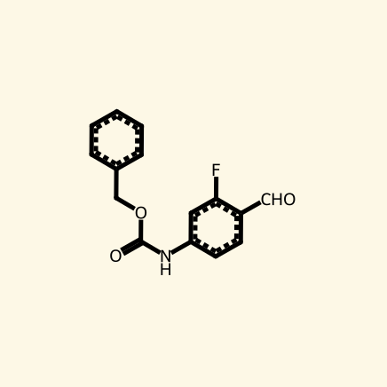 O=Cc1ccc(NC(=O)OCc2ccccc2)cc1F